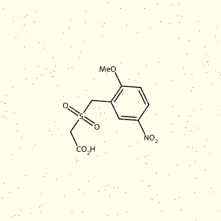 COc1ccc([N+](=O)[O-])cc1CS(=O)(=O)CC(=O)O